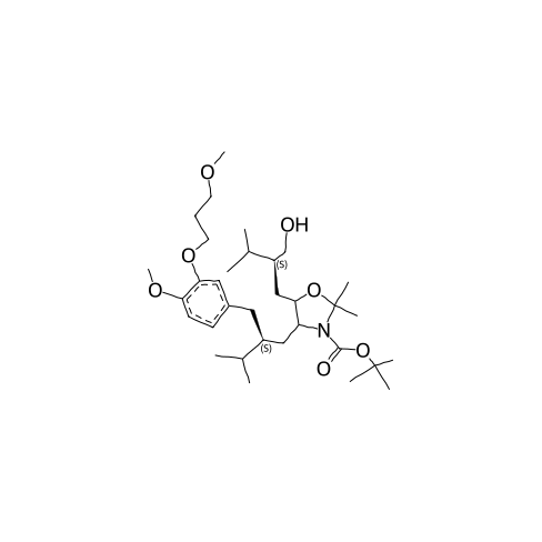 COCCCOc1cc(C[C@@H](CC2C(C[C@H](CO)C(C)C)OC(C)(C)N2C(=O)OC(C)(C)C)C(C)C)ccc1OC